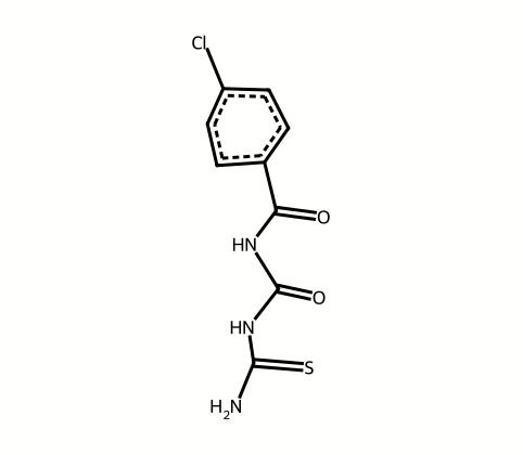 NC(=S)NC(=O)NC(=O)c1ccc(Cl)cc1